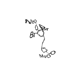 COCOc1c(Br)cc(C=Cc2ccc(C(=O)OC)cc2)cc1Br